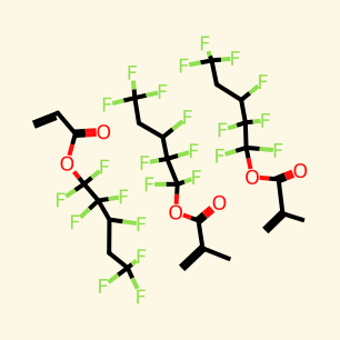 C=C(C)C(=O)OC(F)(F)C(F)(F)C(F)CC(F)(F)F.C=C(C)C(=O)OC(F)(F)C(F)(F)C(F)CC(F)(F)F.C=CC(=O)OC(F)(F)C(F)(F)C(F)CC(F)(F)F